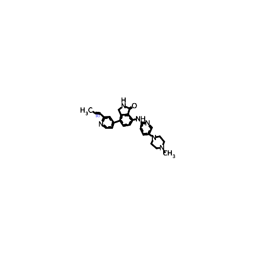 C/C=C/c1cc(-c2ccc(Nc3ccc(N4CCN(C)CC4)cn3)c3c2CNC3=O)ccn1